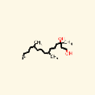 CC(C)CCCC(C)CCCC(C)CCCC(C)(O)CCO